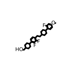 COc1ccc(C2CCC(CCc3ccc(C4CCC(CO)CC4)c(F)c3F)CC2)c(F)c1